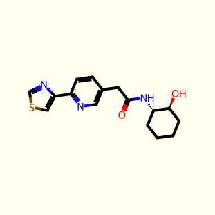 O=C(Cc1ccc(-c2cscn2)nc1)N[C@H]1CCCC[C@@H]1O